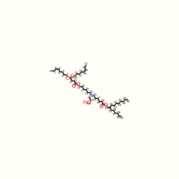 CC/C=C\CCCCOC(CCC(=O)OCCCCCCN(CCO)CCCCCC(=O)OCC(CCCCCC)CCCCCCCC)OCCCC/C=C\CC